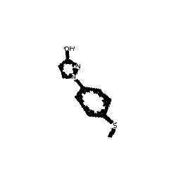 CSc1ccc(-n2ccc(O)n2)cc1